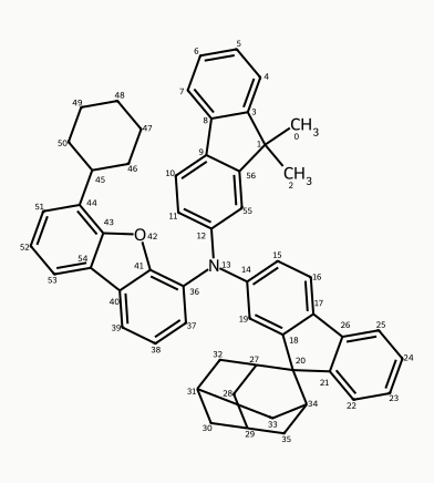 CC1(C)c2ccccc2-c2ccc(N(c3ccc4c(c3)C3(c5ccccc5-4)C4CC5CC(C4)CC3C5)c3cccc4c3oc3c(C5CCCCC5)cccc34)cc21